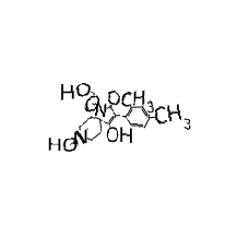 Cc1ccc(C2=C(O)C3(CCN(O)CC3)N(OCO)C2=O)c(C)c1